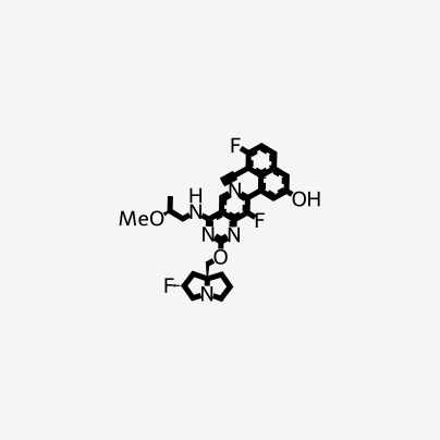 C#Cc1c(F)ccc2cc(O)cc(-c3ncc4c(NC[C@H](C)OC)nc(OC[C@@]56CCCN5C[C@H](F)C6)nc4c3F)c12